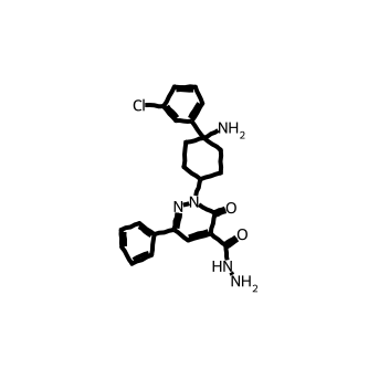 NNC(=O)c1cc(-c2ccccc2)nn(C2CCC(N)(c3cccc(Cl)c3)CC2)c1=O